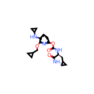 NC(=O)[C@H](CC1CC1)NC(=O)Oc1ccc(NC2CC2)c(OCC2CC2)n1